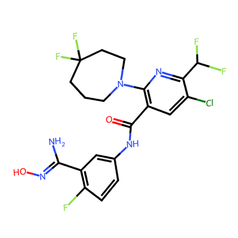 NC(=NO)c1cc(NC(=O)c2cc(Cl)c(C(F)F)nc2N2CCCC(F)(F)CC2)ccc1F